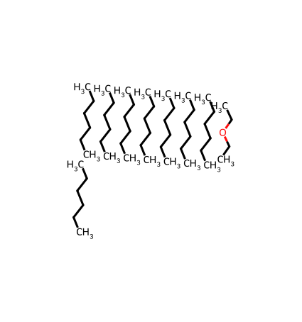 CCCCCC.CCCCCC.CCCCCC.CCCCCC.CCCCCC.CCCCCC.CCCCCC.CCCCCC.CCOCC